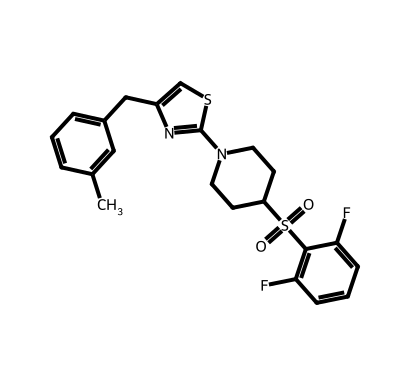 Cc1cccc(Cc2csc(N3CCC(S(=O)(=O)c4c(F)cccc4F)CC3)n2)c1